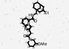 CCC1CC2CCCC(CNC(=O)c3cccc4nc(CC(=O)N5CCCC(OC)C5)cn34)(C1)C2